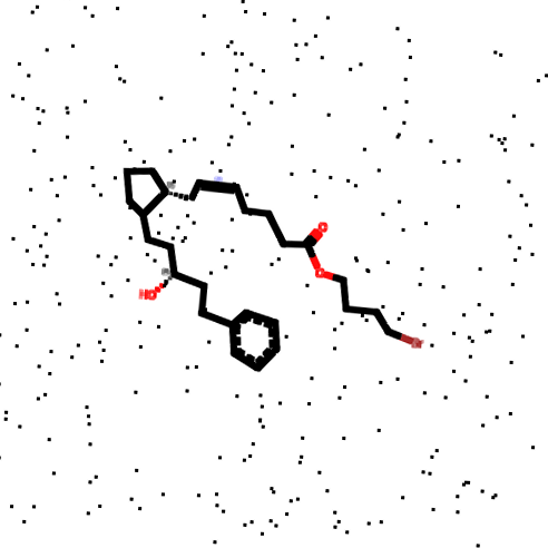 O=C(CCC/C=C\C[C@H]1CCCC1CC[C@@H](O)CCc1ccccc1)OCCCCBr